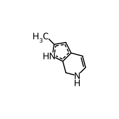 Cc1cc2c([nH]1)CNC=C2